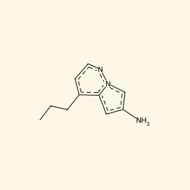 CCCc1ccnn2cc(N)cc12